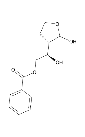 O=C(OC[C@H](O)[C@@H]1CCOC1O)c1ccccc1